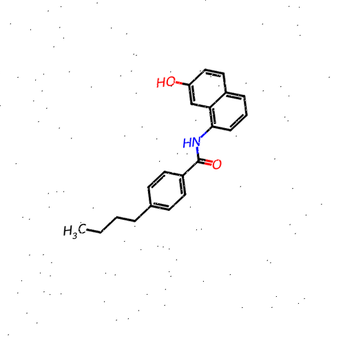 CCCCc1ccc(C(=O)Nc2cccc3ccc(O)cc23)cc1